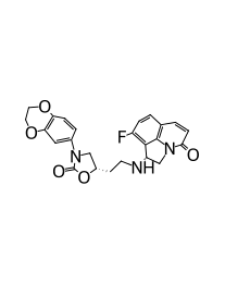 O=C1O[C@@H](CCN[C@H]2Cn3c(=O)ccc4ccc(F)c2c43)CN1c1ccc2c(c1)OCCO2